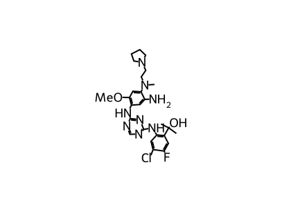 COc1cc(N(C)CCN2CCCC2)c(N)cc1Nc1ncnc(Nc2cc(Cl)c(F)cc2C(C)(C)O)n1